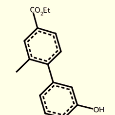 CCOC(=O)c1ccc(-c2cccc(O)c2)c(C)c1